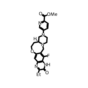 CCc1nc2cc3c(c(F)c2[nH]c1=O)CN1CCN(c2ccc(C(=O)OC)nc2)C[C@@H]1CCO3